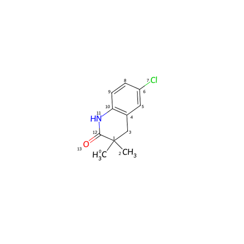 CC1(C)Cc2cc(Cl)ccc2NC1=O